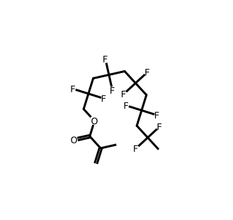 C=C(C)C(=O)OCC(F)(F)CC(F)(F)CC(F)(F)CC(F)(F)CC(C)(F)F